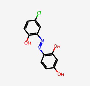 Oc1ccc(N=Nc2cc(Cl)ccc2O)c(O)c1